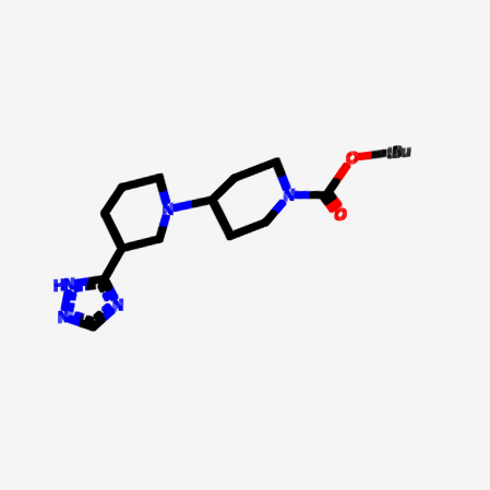 CC(C)(C)OC(=O)N1CCC(N2CCCC(c3ncn[nH]3)C2)CC1